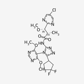 COc1ncnc(OC)c1-n1c(NS(=O)(=O)[C@@H](C)[C@H](OC)c2ncc(Cl)cn2)nnc1C1CCC(F)(F)C1